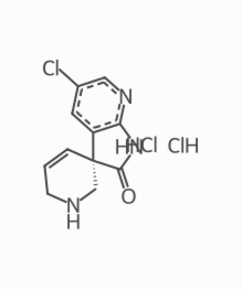 Cl.Cl.O=C1Nc2ncc(Cl)cc2[C@]12C=CCNC2